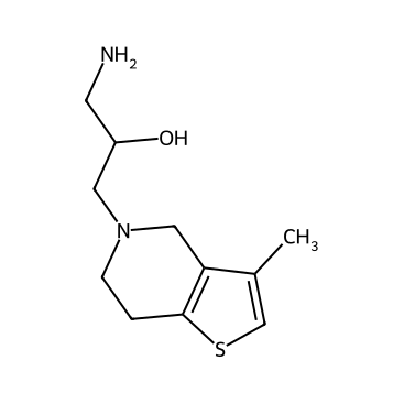 Cc1csc2c1CN(CC(O)CN)CC2